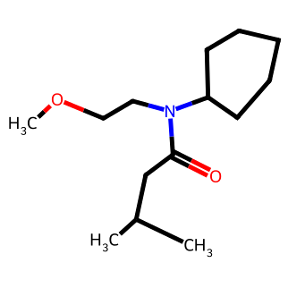 COCCN(C(=O)CC(C)C)C1CCCCC1